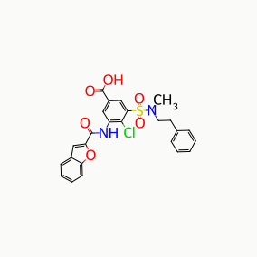 CN(CCc1ccccc1)S(=O)(=O)c1cc(C(=O)O)cc(NC(=O)c2cc3ccccc3o2)c1Cl